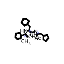 C/C=C(\N/C(Cc1ccccc1)=C(C)/N=C(/CC1=CC=CC1)C(C)=O)c1ccccc1C